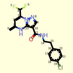 C=C1C=C(C(F)F)n2ncc(C(=O)NCCc3ccc(Cl)cc3)c2N1